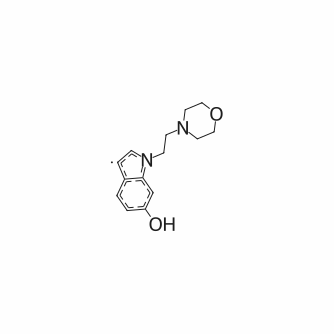 Oc1ccc2[c]cn(CCN3CCOCC3)c2c1